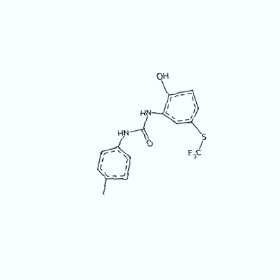 Cc1ccc(NC(=O)Nc2cc(SC(F)(F)F)ccc2O)cc1